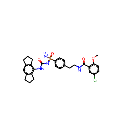 COc1ccc(Cl)cc1C(=O)NCCc1ccc(S(N)(=O)=NC(=O)Nc2c3c(cc4c2CCC4)CCC3)cc1